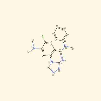 CN(C)c1cc2c(cc1F)c(N(C)c1ccccc1)nc1nncn12